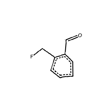 O=[C]c1ccccc1CF